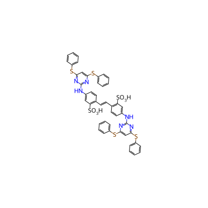 O=S(=O)(O)c1cc(Nc2nc(Sc3ccccc3)cc(Sc3ccccc3)n2)ccc1/C=C/c1ccc(Nc2nc(Sc3ccccc3)cc(Sc3ccccc3)n2)cc1S(=O)(=O)O